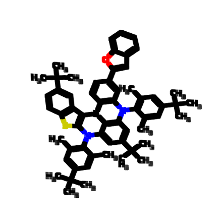 Cc1cc(C(C)(C)C)cc(C)c1N1c2cc(-c3cc4ccccc4o3)ccc2B2c3c1cc(C(C)(C)C)cc3N(c1c(C)cc(C(C)(C)C)cc1C)c1sc3ccc(C(C)(C)C)cc3c12